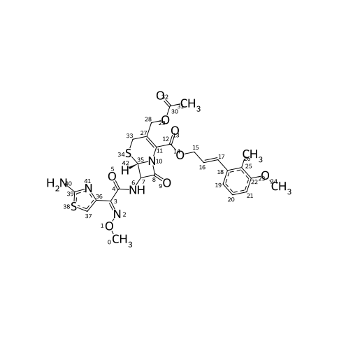 CON=C(C(=O)NC1C(=O)N2C(C(=O)OCC=Cc3cccc(OC)c3C)=C(COC(C)=O)CS[C@@H]12)c1csc(N)n1